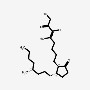 CCCC[C@@H](C)CCC[C@H]1CCC(=O)[C@@H]1CCCCC(O)=C(O)C(=O)CO